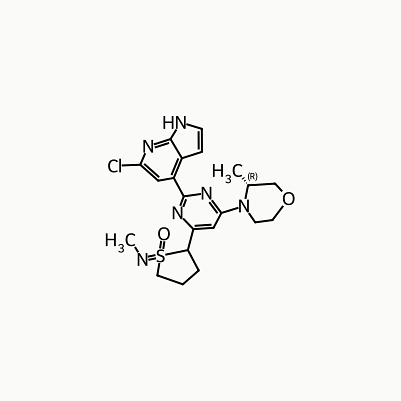 CN=S1(=O)CCCC1c1cc(N2CCOC[C@H]2C)nc(-c2cc(Cl)nc3[nH]ccc23)n1